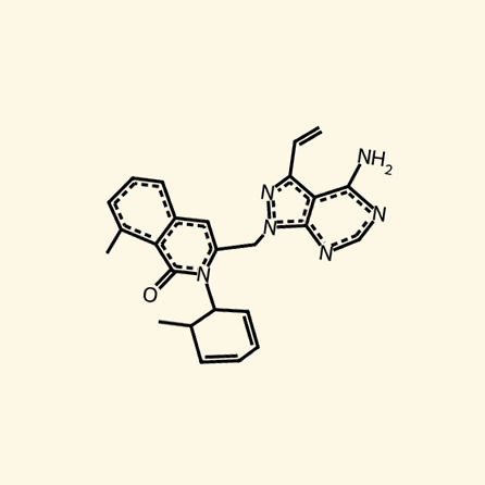 C=Cc1nn(Cc2cc3cccc(C)c3c(=O)n2C2C=CC=CC2C)c2ncnc(N)c12